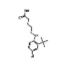 CC(C)(C)c1cc(Cl)ccc1NCCCCC(=O)O